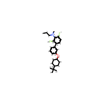 CCCN(C)c1c(F)ccc(-c2cccc(OC3CCC(C(C)(C)C)CC3)c2)c1F